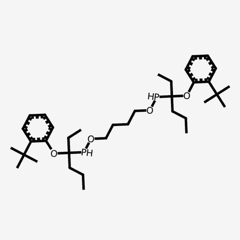 CCCC(CC)(Oc1ccccc1C(C)(C)C)POCCCCOPC(CC)(CCC)Oc1ccccc1C(C)(C)C